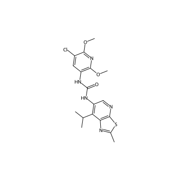 COc1nc(OC)c(NC(=O)Nc2cnc3sc(C)nc3c2C(C)C)cc1Cl